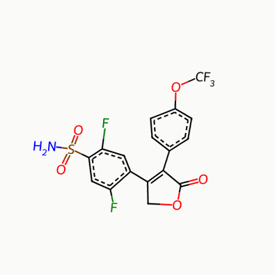 NS(=O)(=O)c1cc(F)c(C2=C(c3ccc(OC(F)(F)F)cc3)C(=O)OC2)cc1F